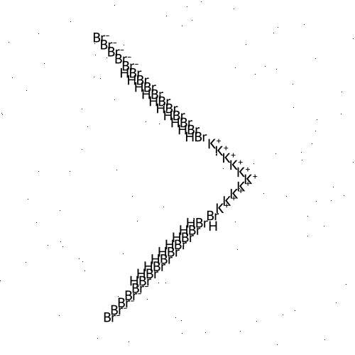 Br.Br.Br.Br.Br.Br.Br.Br.Br.Br.Br.Br.Br.Br.Br.Br.Br.Br.Br.Br.[Br-].[Br-].[Br-].[Br-].[Br-].[Br-].[Br-].[Br-].[Br-].[Br-].[K+].[K+].[K+].[K+].[K+].[K+].[K+].[K+].[K+].[K+]